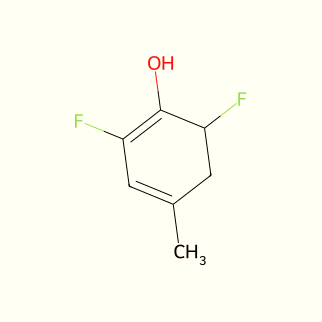 CC1=CC(F)=C(O)C(F)C1